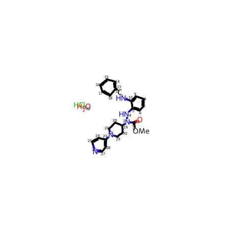 COC(=O)N(Nc1ccccc1NCc1ccccc1)C1CCN(c2ccncc2)CC1.Cl.O